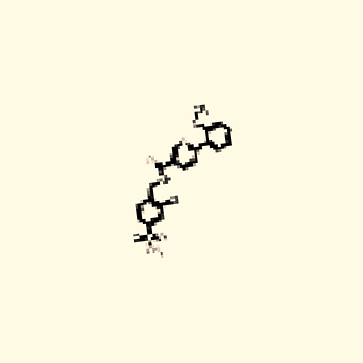 CS(=O)(=O)c1ccc(CNC(=O)c2ccc(-c3ccccc3OC(F)(F)F)nc2)c(Cl)c1